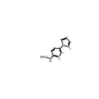 O=CNc1ccc(-n2cccn2)cn1